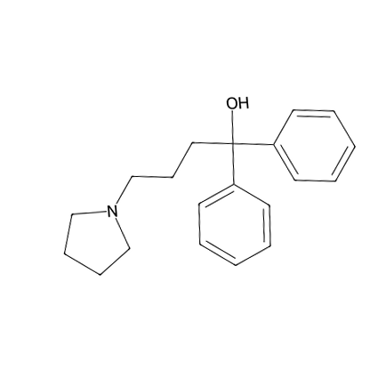 OC(CCCN1CCCC1)(c1ccccc1)c1ccccc1